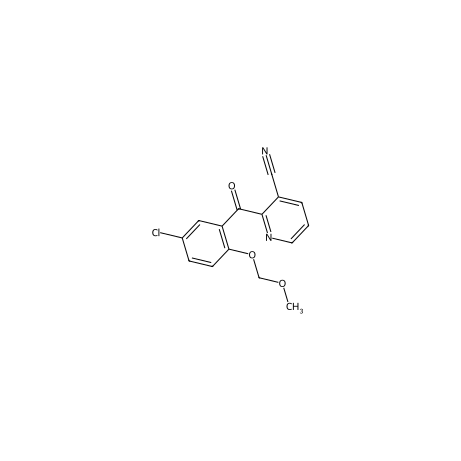 COCOc1ccc(Cl)cc1C(=O)c1ncccc1C#N